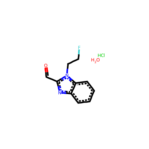 Cl.O.O=Cc1nc2ccccc2n1CCF